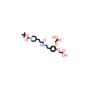 CC(C)(C)OC(=O)N1CCC(CCC(=O)NCCc2ccc(OCC(=O)O)c(OCC(=O)O)c2)CC1